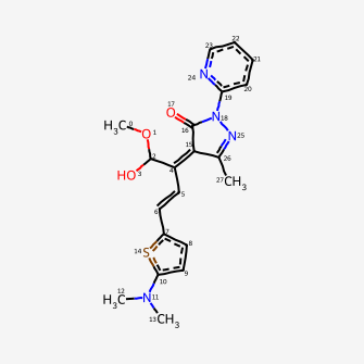 COC(O)/C(C=Cc1ccc(N(C)C)s1)=C1\C(=O)N(c2ccccn2)N=C1C